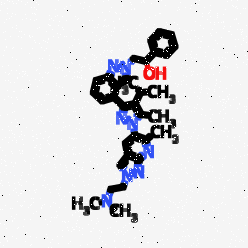 Cc1nc2nn(CCN(C)C)cc2cc1-n1nc(-c2cccc3nn(C[C@H](O)c4ccccc4)cc23)c(C(C)C)c1C